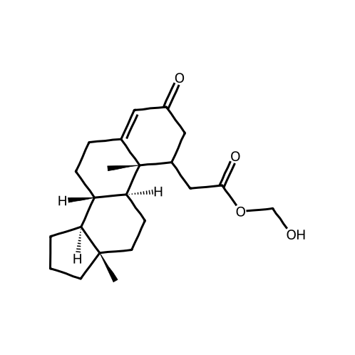 C[C@@]12CCC[C@H]1[C@@H]1CCC3=CC(=O)CC(CC(=O)OCO)[C@]3(C)[C@H]1CC2